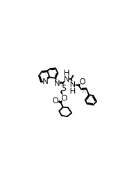 CC(NC(=O)/C=C/c1ccccc1)N/C(=N\c1cccc2cccnc12)SCOC(=O)C1CCCCC1